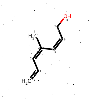 C=C/C=C(C)\C=C/CO